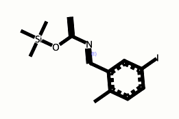 C=C(/N=C/c1cc(I)ccc1C)O[Si](C)(C)C